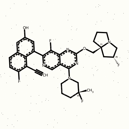 C#Cc1c(F)ccc2cc(O)cc(-c3ncc4c(N5CCC[C@@](C)(F)C5)nc(OC[C@@]56CCCN5C[C@H](F)C6)nc4c3F)c12